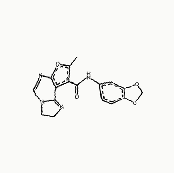 Cc1oc2c(c1C(=O)Nc1ccc3c(c1)OCO3)C1=NCCN1C=N2